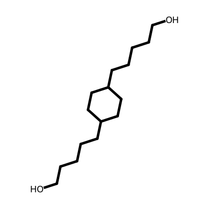 OCCCCCC1CCC(CCCCCO)CC1